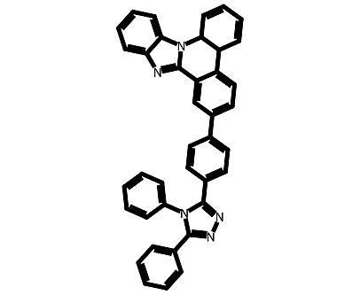 C1=CC2c3ccc(-c4ccc(-c5nnc(-c6ccccc6)n5-c5ccccc5)cc4)cc3-c3nc4ccccc4n3C2C=C1